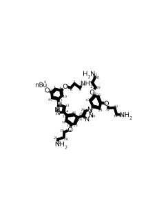 CCCCOc1cc(OCCCN)cc(-n2cc(-c3cc(OCCCN)cc(-c4cn(-c5cc(OCCCN)cc(OCCCN)c5)nn4)c3)nn2)c1